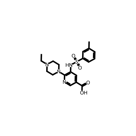 CCN1CCN(c2ncc(C(=O)O)cc2NS(=O)(=O)c2cccc(C)c2)CC1